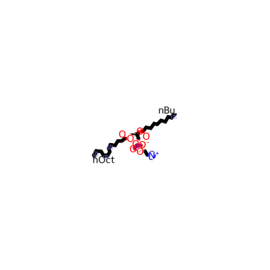 CCCC/C=C\CCCCCCCC(=O)O[C@H](COC(=O)CCC/C=C\C/C=C\C/C=C\CCCCCCCC)COP(=O)([O-])OCC[N+](C)(C)C